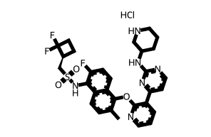 Cc1ccc2c(NS(=O)(=O)C[C@@H]3CCC3(F)F)c(F)ccc2c1Oc1ncccc1-c1ccnc(NC2CCCNC2)n1.Cl